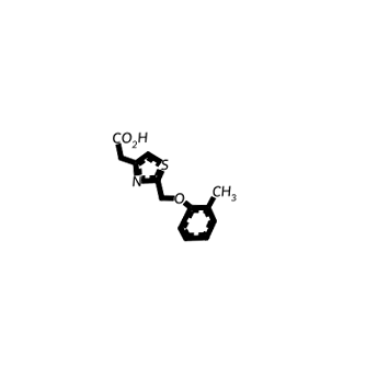 Cc1ccccc1OCc1nc(CC(=O)O)cs1